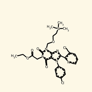 CCOC(=O)Cn1c(=O)c2c(nc(-c3ncccc3Cl)n2-c2ccc(Cl)cc2)n(COCC[Si](C)(C)C)c1=O